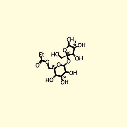 CCC(=O)OC[C@H]1OC(O[C@]2(CO)OC(C)[C@@H](O)C2O)C(O)[C@@H](O)C1O